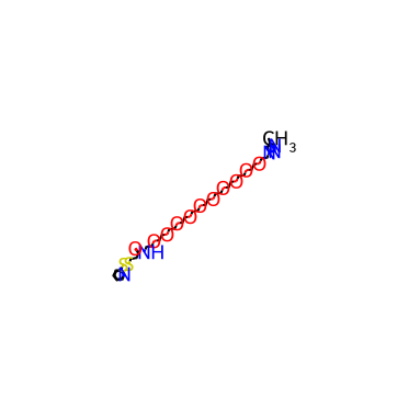 Cc1cn(CCOCCOCCOCCOCCOCCOCCOCCOCCOCCOCCNC(=O)CCSSc2ccccn2)nn1